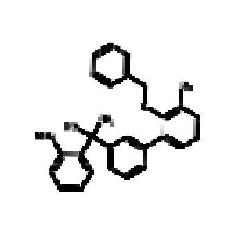 COc1ccccc1C(C)(O)c1cccc(-c2cccc(C(C)(C)C)c2OCc2ccccc2)c1